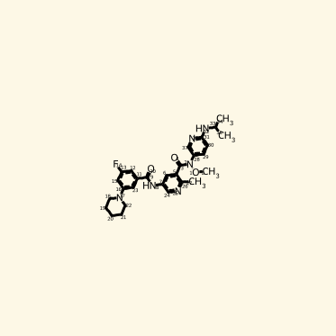 CON(C(=O)c1cc(NC(=O)c2cc(F)cc(N3CCCCC3)c2)cnc1C)c1ccc(NC(C)C)nc1